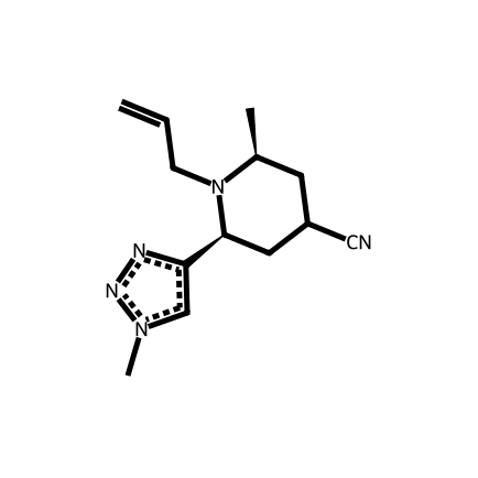 C=CCN1[C@@H](C)CC(C#N)C[C@H]1c1cn(C)nn1